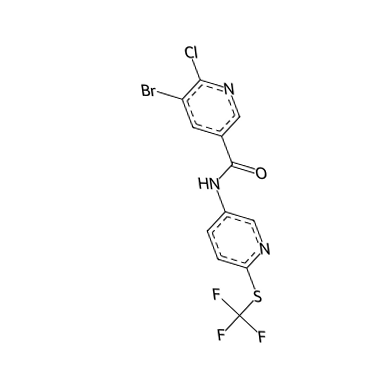 O=C(Nc1ccc(SC(F)(F)F)nc1)c1cnc(Cl)c(Br)c1